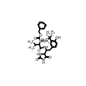 CC(C)C(C(=O)NC(Cc1ccc(O)c(C(C)(C)C)c1)C1NC(=O)NC1=O)N(C)C(=O)OCc1ccccc1